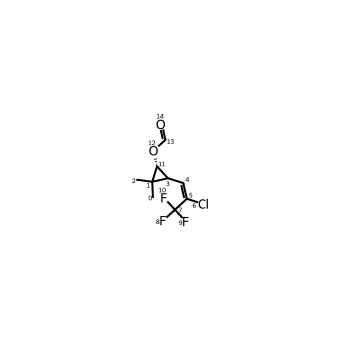 CC1(C)C(/C=C(/Cl)C(F)(F)F)[C@H]1OC=O